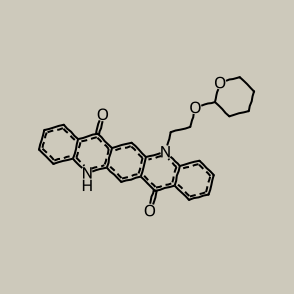 O=c1c2ccccc2[nH]c2cc3c(=O)c4ccccc4n(CCOC4CCCCO4)c3cc12